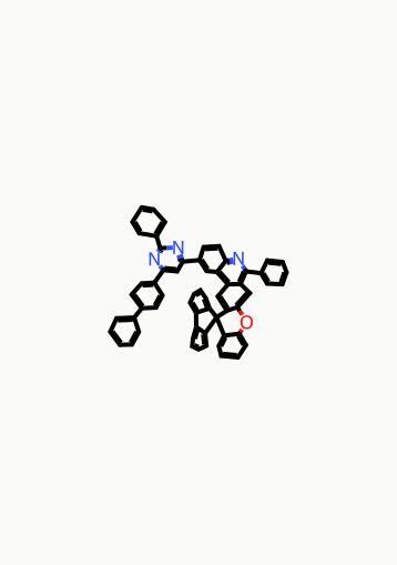 c1ccc(-c2ccc(-c3cc(-c4ccc5nc(-c6ccccc6)c6cc7c(cc6c5c4)C4(c5ccccc5O7)c5ccccc5-c5ccccc54)nc(-c4ccccc4)n3)cc2)cc1